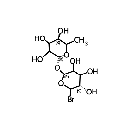 CC1O[C@H](O[C@@H]2OC(Br)[C@@H](O)C(O)C2O)C(O)C(O)[C@H]1O